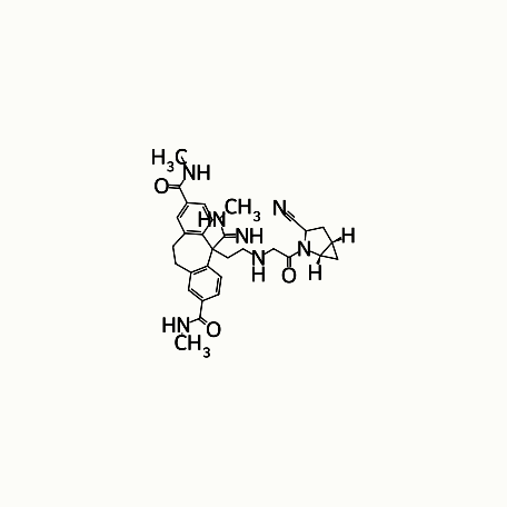 CNC(=N)C1(CCNCC(=O)N2C(C#N)C[C@@H]3C[C@@H]32)c2ccc(C(=O)NC)cc2CCc2cc(C(=O)NC)ccc21